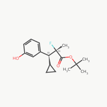 CC(C)(C)OC(=O)[C@@](C)(F)[C@H](c1cccc(O)c1)C1CC1